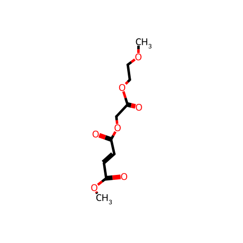 COCCOC(=O)COC(=O)/C=C/C(=O)OC